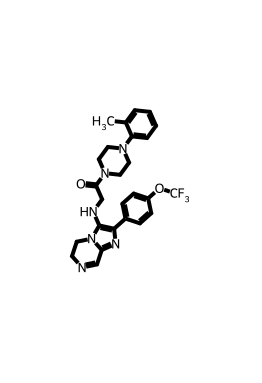 Cc1ccccc1N1CCN(C(=O)CNc2c(-c3ccc(OC(F)(F)F)cc3)nc3n2CCN=C3)CC1